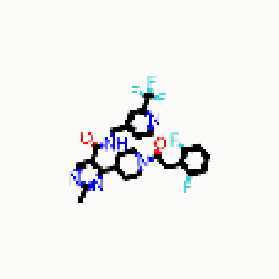 Cc1ncc(C(=O)NCc2ccnc(C(F)(F)F)c2)c(C2CCN(C(=O)Cc3c(F)cccc3F)CC2)n1